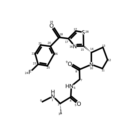 CN[C@@H](C)C(=O)NCC(=O)N1CCC[C@H]1c1nc(C(=O)c2ccc(F)cc2)cs1